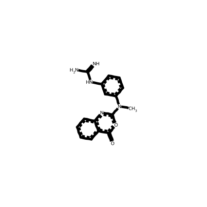 CN(c1cccc(NC(=N)N)c1)c1nc2ccccc2c(=O)o1